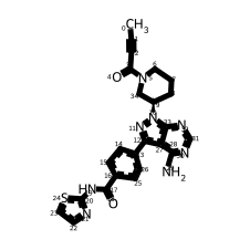 CC#CC(=O)N1CCC[C@@H](n2nc(-c3ccc(C(=O)Nc4nccs4)cc3)c3c(N)ncnc32)C1